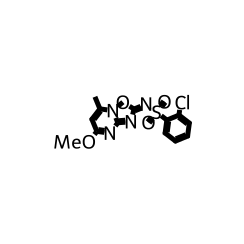 COc1cc(C)n2oc(=NS(=O)(=O)c3ccccc3Cl)nc2n1